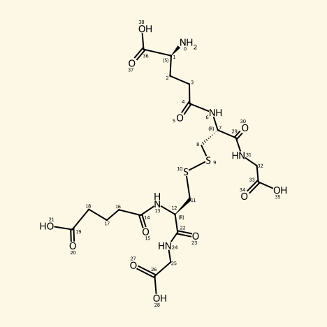 N[C@@H](CCC(=O)N[C@@H](CSSC[C@H](NC(=O)CCCC(=O)O)C(=O)NCC(=O)O)C(=O)NCC(=O)O)C(=O)O